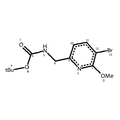 COc1nc(CNC(=O)OC(C)(C)C)ccc1Br